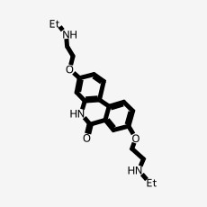 CCNCCOc1ccc2c(c1)[nH]c(=O)c1cc(OCCNCC)ccc12